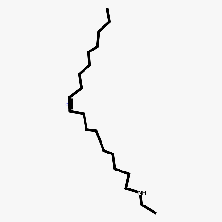 C[CH]NCCCCCCCC/C=C\CCCCCCCC